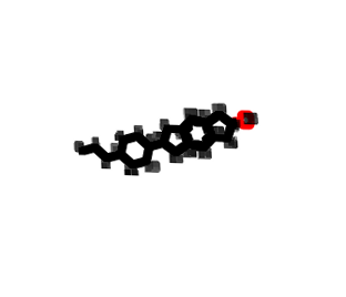 CCCC1CCC(C2Cc3cc4c(cc3C2)CC(=O)C4)CC1